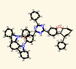 C1=CC2Oc3cc(-c4nc(-c5ccccc5)nc(-c5ccc(-n6c7ccccc7c7ccc8c9ccccc9n(-c9ccccc9)c8c76)cc5)n4)ccc3C2C(c2ccccc2)=C1